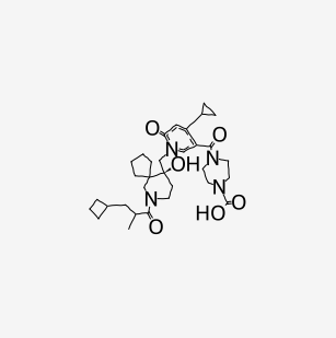 CC(CC1CCC1)C(=O)N1CC[C@@](O)(Cn2cc(C(=O)N3CCN(C(=O)O)CC3)c(C3CC3)cc2=O)C2(CCCC2)C1